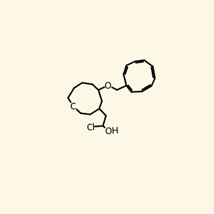 OC(Cl)CC1CCCCCCCC(OCc2ccccccccc2)C1